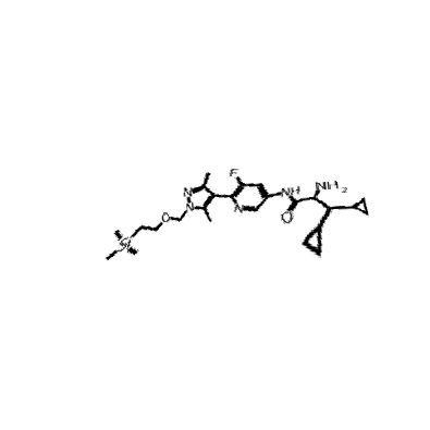 Cc1nn(COCC[Si](C)(C)C)c(C)c1-c1ncc(NC(=O)[C@@H](N)C(C2CC2)C2CC2)cc1F